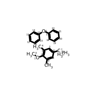 COc1c(C)cc(C)cc1C.P.c1ccc(Oc2ccccc2)cc1